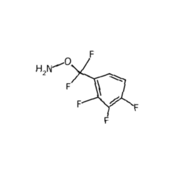 NOC(F)(F)c1ccc(F)c(F)c1F